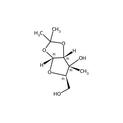 CC1(C)O[C@H]2O[C@H](CO)[C@@](C)(O)[C@H]2O1